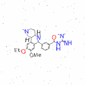 CCOc1cc2c(cc1OC)C(c1cccc(C(=O)NC(=N)N(C)C)c1)=N[C@@H]1CCN(C)C[C@H]21